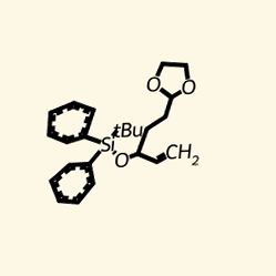 C=CC(CCC1OCCO1)O[Si](c1ccccc1)(c1ccccc1)C(C)(C)C